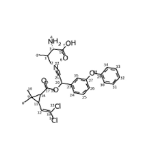 CC(C)[C@H](N)C(=O)O.CC1(C)C(C=C(Cl)Cl)C1C(=O)OC(C#N)c1cccc(Oc2ccccc2)c1